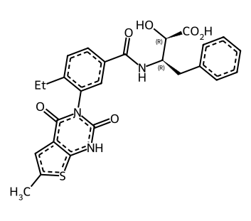 CCc1ccc(C(=O)N[C@H](Cc2ccccc2)[C@@H](O)C(=O)O)cc1-n1c(=O)[nH]c2sc(C)cc2c1=O